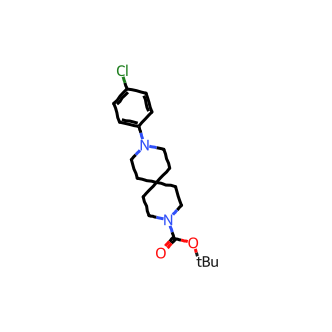 CC(C)(C)OC(=O)N1CCC2(CC1)CCN(c1ccc(Cl)cc1)CC2